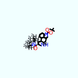 [2H]C([2H])([2H])C([2H])([2H])N(C(=O)[C@@H]1C=C2c3cccc4c3c(cn4C(=O)OC(C)(C)C)C[C@H]2NC1)C([2H])([2H])C([2H])([2H])[2H]